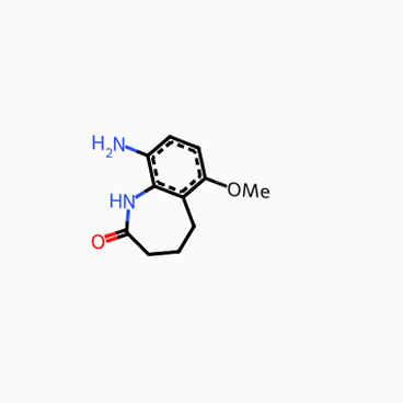 COc1ccc(N)c2c1CCCC(=O)N2